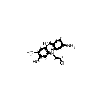 Cc1cc(Nc2ccc(N)cc2)c(NCCO)cc1O